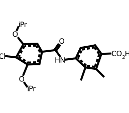 Cc1c(NC(=O)c2cc(OC(C)C)c(Cl)c(OC(C)C)c2)ccc(C(=O)O)c1C